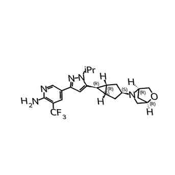 CC(C)n1nc(-c2cnc(N)c(C(F)(F)F)c2)cc1[C@H]1[C@@H]2C[C@@H](N3C[C@H]4C[C@@H]3CO4)C[C@@H]21